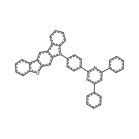 c1ccc(-c2cc(-c3ccccc3)nc(-c3ccc(-n4c5ccccc5c5cc6c(cc54)oc4ccccc46)cc3)n2)cc1